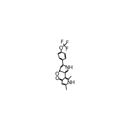 Cc1cc(=O)c(-c2c[nH]c(-c3ccc(OC(F)(F)F)cc3)cc2=O)c(C)[nH]1